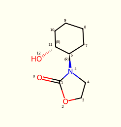 O=C1OCCN1[C@@H]1CCCC[C@H]1O